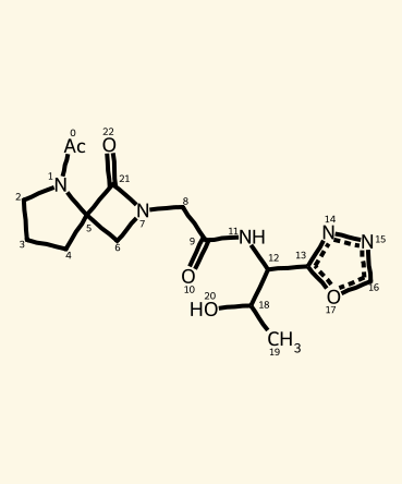 CC(=O)N1CCCC12CN(CC(=O)NC(c1nnco1)C(C)O)C2=O